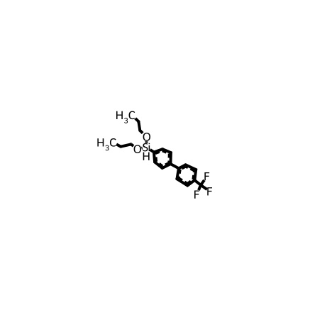 CCCO[SiH](OCCC)c1ccc(-c2ccc(C(F)(F)F)cc2)cc1